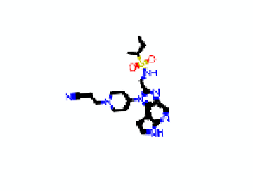 CCC(C)S(=O)(=O)NCc1nc2cnc3[nH]ccc3c2n1C1CCN(CCC#N)CC1